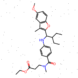 CCOC(=O)CCN(C)C(=O)c1ccc(NC(c2oc3ccc(OC)cc3c2C)C(CC)CC)cc1